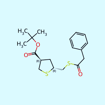 CC(C)(C)OC(=O)[C@@H]1CS[C@@H](CSC(=O)Cc2ccccc2)C1